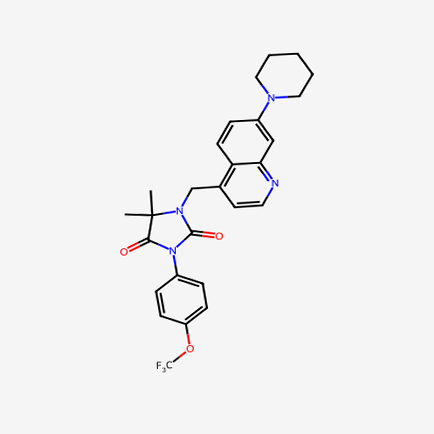 CC1(C)C(=O)N(c2ccc(OC(F)(F)F)cc2)C(=O)N1Cc1ccnc2cc(N3CCCCC3)ccc12